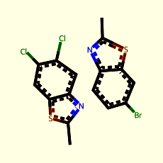 Cc1nc2cc(Cl)c(Cl)cc2s1.Cc1nc2ccc(Br)cc2s1